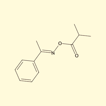 C/C(=N\OC(=O)C(C)C)c1ccccc1